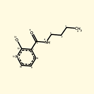 CCCCNC(=O)c1cccnc1[O]